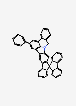 c1ccc(-c2cc3c4c(c2)c2cc5c(cc2n4Cc2ccccc2-3)C2(c3ccccc3-c3ccccc32)c2ccccc2-5)cc1